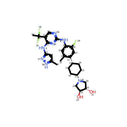 Cc1cc(Nc2nc(Nc3cc(C)c([C@H]4CC[C@@H](N5C[C@H](O)[C@@H](O)C5)CC4)cc3F)ncc2C(C)(F)F)n[nH]1